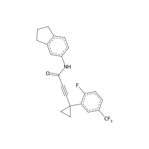 O=C(C#CC1(c2cc(C(F)(F)F)ccc2F)CC1)Nc1ccc2c(c1)CCC2